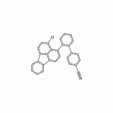 N#Cc1ccc(-c2ccccc2-c2ccc3c4c(ccc(Cl)c24)-c2ccccc2-3)cc1